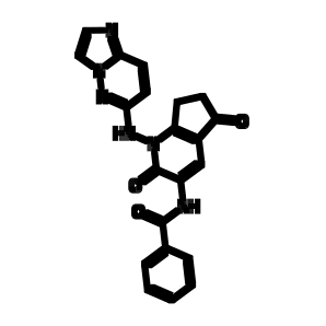 O=C(Nc1cc2c(n(Nc3ccc4nccn4n3)c1=O)CCC2=O)c1ccccc1